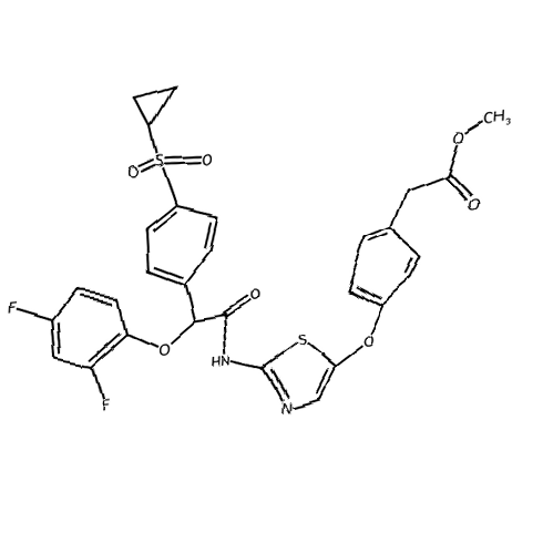 COC(=O)Cc1ccc(Oc2cnc(NC(=O)C(Oc3ccc(F)cc3F)c3ccc(S(=O)(=O)C4CC4)cc3)s2)cc1